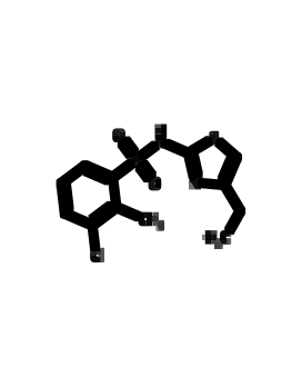 [CH2]Cc1csc(NS(=O)(=O)c2cccc(Cl)c2C)n1